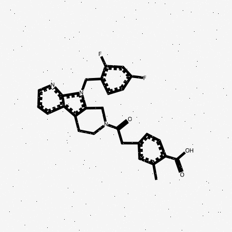 Cc1cc(CC(=O)N2CCc3c(n(Cc4ccc(F)cc4F)c4ncccc34)C2)ccc1C(=O)O